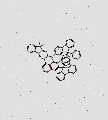 CC1(C)c2ccccc2-c2cc(-c3ccccc3)c(N(c3ccc4c(c3)C(c3ccccc3)(c3ccccc3)c3ccccc3-4)c3cccc4c3-c3ccccc3C43c4ccccc4-c4ccccc43)cc21